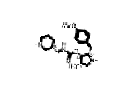 COc1ccc(C[C@H]2NC[C@H](O)[C@H]2OC(=O)NC[C@H]2CCCNC2)cc1